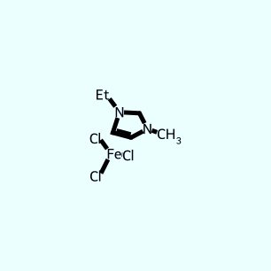 CCN1C=CN(C)C1.[Cl][Fe]([Cl])[Cl]